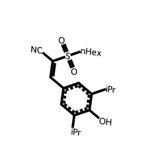 CCCCCCS(=O)(=O)C(C#N)=Cc1cc(C(C)C)c(O)c(C(C)C)c1